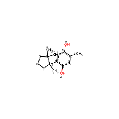 Cc1cc(O)c(C2(C)CCCC2(C)C)cc1O